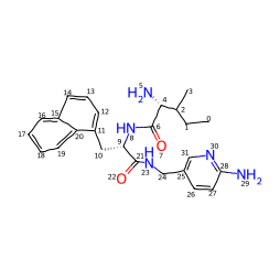 CCC(C)[C@@H](N)C(=O)N[C@@H](Cc1cccc2ccccc12)C(=O)NCc1ccc(N)nc1